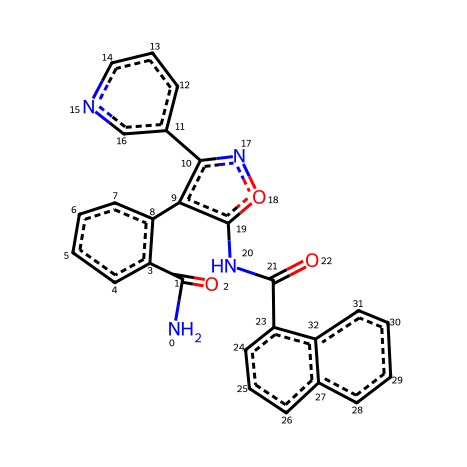 NC(=O)c1ccccc1-c1c(-c2cccnc2)noc1NC(=O)c1cccc2ccccc12